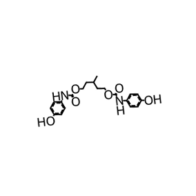 CC(CCOC(=O)Nc1ccc(O)cc1)CCOC(=O)Nc1ccc(O)cc1